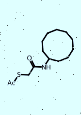 CC(=O)SCC(=O)NC1CCCCCCCCC1